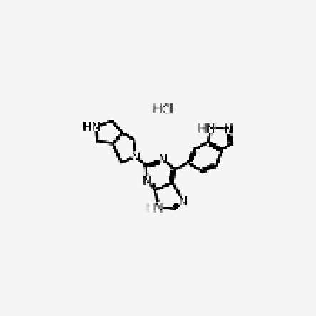 Cl.c1nc2c(-c3ccc4cn[nH]c4c3)nc(N3CC4CNCC4C3)nc2[nH]1